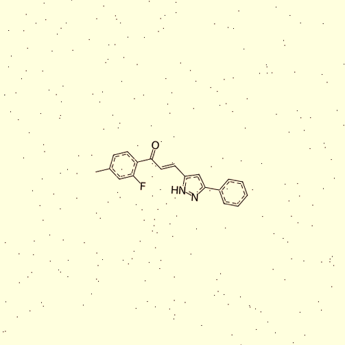 Cc1ccc(C(=O)/C=C/c2cc(-c3ccccc3)n[nH]2)c(F)c1